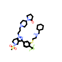 CS(=O)(=O)N1CCc2c(c(-c3ccc(C(F)(F)F)c(SCCNCC4CCCCC4)c3)nn2CCCN2CCC(N3CCCC3=O)CC2)C1